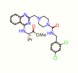 COC(=O)[C@@H](Nc1nc(CN2CCN(C(=O)NCc3ccc(Cl)cc3Cl)CC2)nc2ccccc12)C(C)C